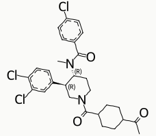 CC(=O)C1CCC(C(=O)N2CC[C@@H](N(C)C(=O)c3ccc(Cl)cc3)[C@H](c3ccc(Cl)c(Cl)c3)C2)CC1